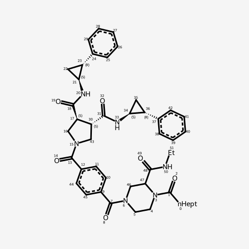 CCCCCCCC(=O)N1CCN(C(=O)c2ccc(C(=O)N3C[C@@H](C(=O)N[C@H]4C[C@@H]4c4ccccc4)[C@H](C(=O)N[C@H]4C[C@@H]4c4ccccc4)C3)cc2)CC1C(=O)NCC